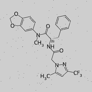 Cc1cc(C(F)(F)F)nn1CC(=O)N[C@@H](Cc1ccccc1)C(=O)N(C)c1ccc2c(c1)OCO2